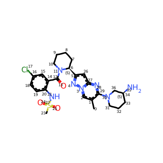 Cc1cn2nc([C@@H]3CCCCN3C(=O)c3cc(Cl)ccc3NS(C)(=O)=O)cc2nc1N1CCC[C@H](N)C1